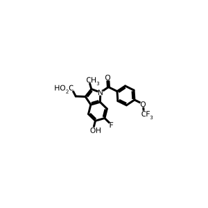 Cc1c(CC(=O)O)c2cc(O)c(F)cc2n1C(=O)c1ccc(OC(F)(F)F)cc1